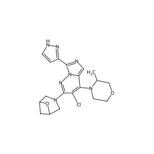 CC1COCCN1c1c(Cl)c(N2CC3CC(C2)O3)nn2c(-c3cc[nH]n3)ncc12